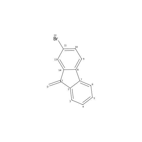 C=C1c2ccccc2-c2ccc(Br)cc21